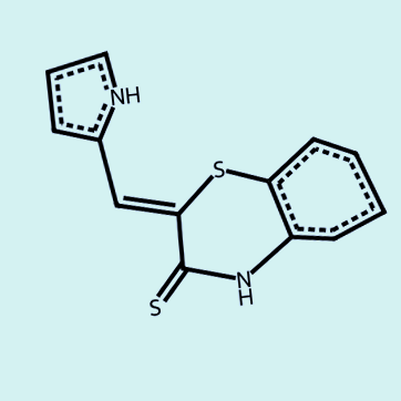 S=C1Nc2ccccc2SC1=Cc1ccc[nH]1